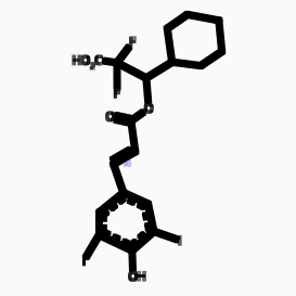 O=C(/C=C/c1cc(I)c(O)c(I)c1)OC(C1CCCCC1)C(F)(F)C(=O)O